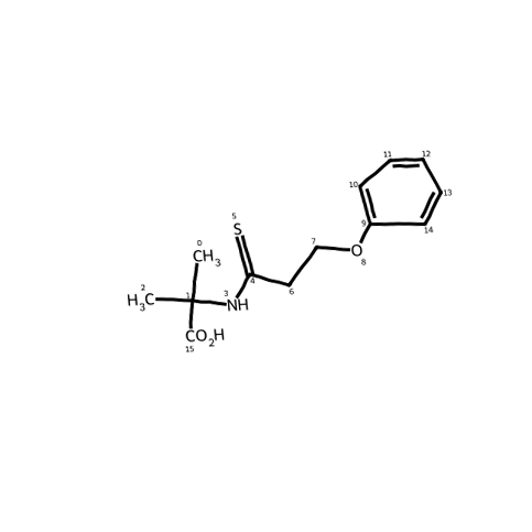 CC(C)(NC(=S)CCOc1ccccc1)C(=O)O